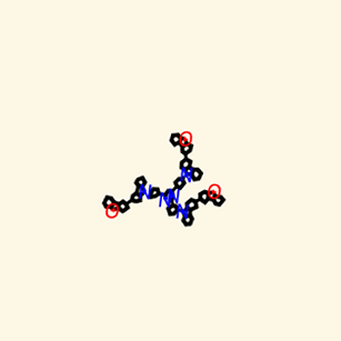 c1cc(-c2nc(-c3ccc(-n4c5ccccc5c5cc(-c6ccc7oc8ccccc8c7c6)ccc54)cc3)cc(-c3ccc(-n4c5ccccc5c5cc(-c6ccc7oc8ccccc8c7c6)ccc54)cc3)n2)cc(-n2c3ccccc3c3cc(-c4ccc5oc6ccccc6c5c4)ccc32)c1